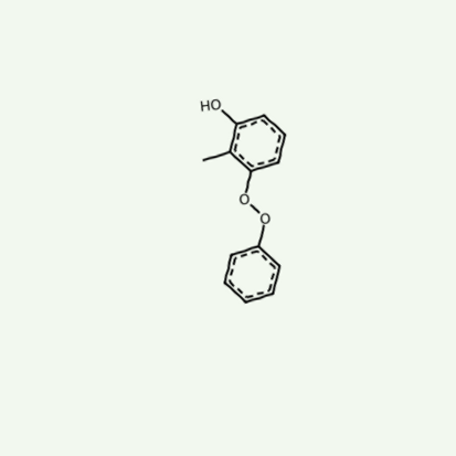 Cc1c(O)cccc1OOc1ccccc1